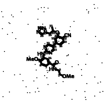 COCCNC(=O)c1ccc(OC)c(Nc2ncc(-c3ccc(C#N)c(OC(C)Cn4cnnn4)c3)cn2)c1